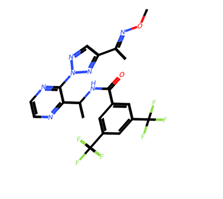 CO/N=C(\C)c1cnn(-c2nccnc2C(C)NC(=O)c2cc(C(F)(F)F)cc(C(F)(F)F)c2)n1